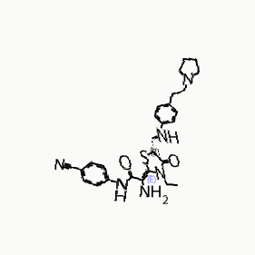 CCN1C(=O)[C@@H](CNc2ccc(CCN3CCCC3)cc2)S/C1=C(/N)C(=O)Nc1ccc(C#N)cc1